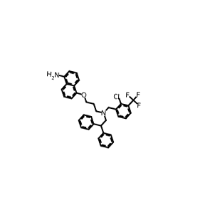 Nc1cccc2c(OCCCN(Cc3cccc(C(F)(F)F)c3Cl)CC(c3ccccc3)c3ccccc3)cccc12